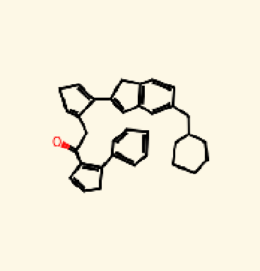 O=C(CC1=CCC=C1C1=Cc2cc(CC3CCCCC3)ccc2C1)C1=C(c2ccccc2)CC=C1